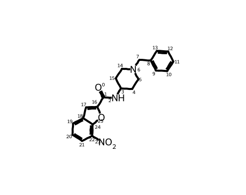 O=C(NC1CCN(Cc2ccccc2)CC1)c1cc2cccc([N+](=O)[O-])c2o1